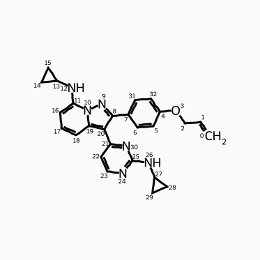 C=CCOc1ccc(-c2nn3c(NC4CC4)cccc3c2-c2ccnc(NC3CC3)n2)cc1